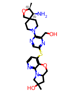 C[C@@H]1OCC2(CCN(c3ncc(Sc4ccnc5c4OCC4CC(C)(O)CN54)nc3CO)CC2)[C@@H]1N